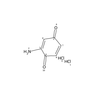 Cl.Cl.NC1=CC(=O)C=CC1=O